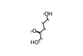 O=C(CO)CCCO